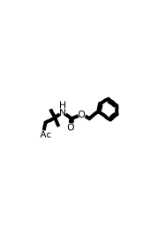 CC(=O)CC(C)(C)NC(=O)OCc1ccccc1